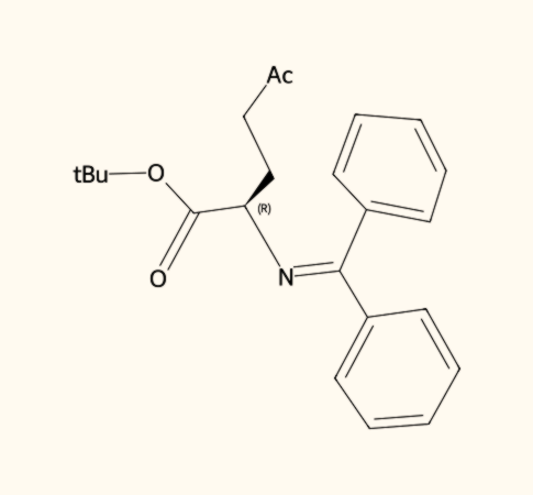 CC(=O)CC[C@@H](N=C(c1ccccc1)c1ccccc1)C(=O)OC(C)(C)C